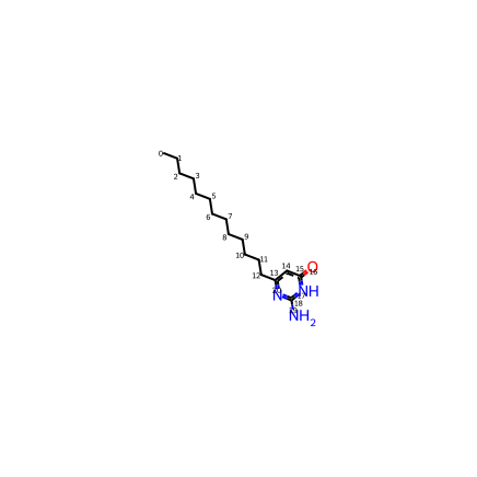 CCCCCCCCCCCCCc1cc(=O)[nH]c(N)n1